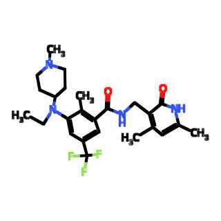 CCN(c1cc(C(F)(F)F)cc(C(=O)NCc2c(C)cc(C)[nH]c2=O)c1C)C1CCN(C)CC1